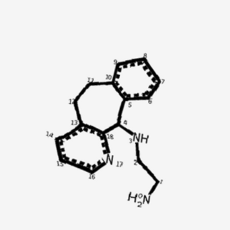 NCCNC1c2ccccc2CCc2cccnc21